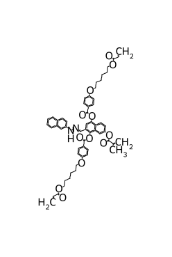 C=CC(=O)OCCCCCCOc1ccc(C(=O)Oc2cc(/C=N/Nc3ccc4ccccc4c3)c(OC(=O)c3ccc(OCCCCCCOC(=O)C=C)cc3)c3cc(OC(=O)C(=C)C)ccc23)cc1